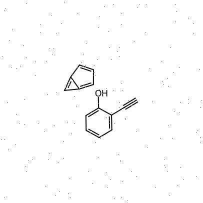 C#Cc1ccccc1O.c1cc2cc-2c1